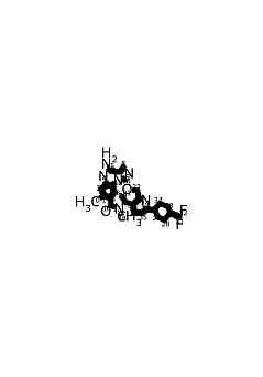 Cc1cc2nc(N)c3cncn3c2cc1C(=O)N(C)C1COCc2nc(C3CCC(=C(F)F)CC3)ccc21